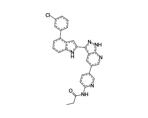 CCC(=O)Nc1ccc(-c2cnc3[nH]nc(-c4cc5c(-c6cccc(Cl)c6)cccc5[nH]4)c3c2)cn1